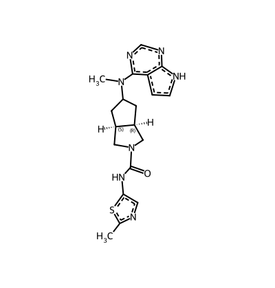 Cc1ncc(NC(=O)N2C[C@H]3CC(N(C)c4ncnc5[nH]ccc45)C[C@H]3C2)s1